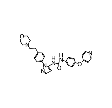 O=C(Nc1ccc(Oc2ccncc2)cc1)Nc1ccnn1-c1ccc(CCN2CCOCC2)cc1